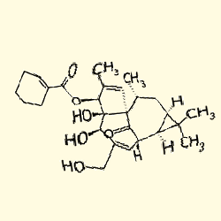 CC1=C[C@]23C(=O)[C@@H](C=C(CO)[C@@H](O)[C@]2(O)[C@H]1OC(=O)C1=CCCCC1)[C@H]1[C@@H](C[C@H]3C)C1(C)C